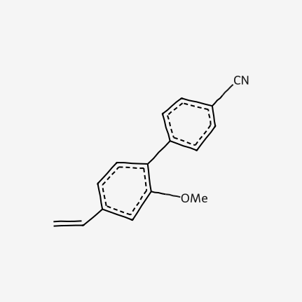 C=Cc1ccc(-c2ccc(C#N)cc2)c(OC)c1